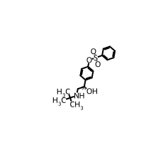 CC(C)(C)NC[C@H](O)c1ccc(OS(=O)(=O)c2ccccc2)cc1